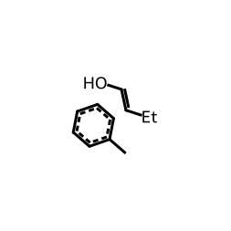 CCC=CO.Cc1ccccc1